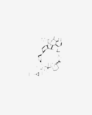 CCn1c(-c2cccnc2[C@H](C)OC)c2c3cc(ccc31)-c1csc(n1)C[C@H](NC(=O)[C@@H]1[C@@H](C)[C@H]1C(C)C)C(=O)N1CCC[C@H](N1)C(=O)OCC(C)(C)C2